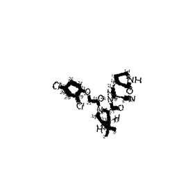 CC1(C)[C@@H]2[C@@H](C(=O)N[C@H](C#N)C[C@@H]3CCNC3=O)N(C(=O)COc3ccc(Cl)cc3Cl)C[C@@H]21